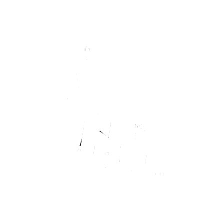 CC(C)CCC[C@@H](C)[C@H]1CC[C@H]2[C@@H]3CC=C4C[C@@H](O)CC([N+](=O)[O-])[C@]4(C)[C@H]3CC[C@]12C